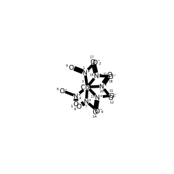 O=[N+]([O-])[Co]([N+](=O)[O-])([N+](=O)[O-])([N+](=O)[O-])([N+](=O)[O-])[N+](=O)[O-]